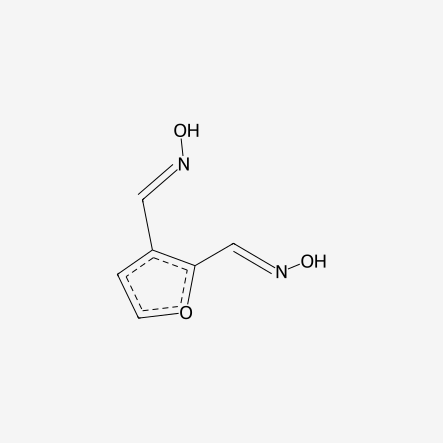 ON=Cc1ccoc1C=NO